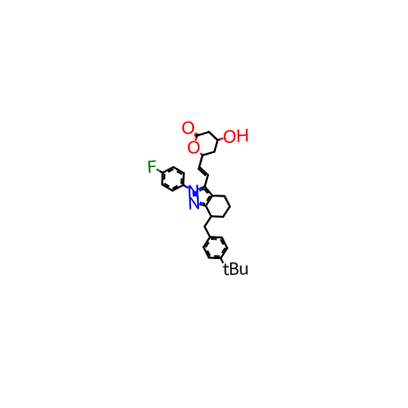 CC(C)(C)c1ccc(CC2CCCc3c2nn(-c2ccc(F)cc2)c3C=CC2CC(O)CC(=O)O2)cc1